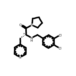 O=C([C@@H](Cc1ccncc1)NCc1ccc(Cl)c(Cl)c1)N1CCCC1